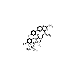 CCN(CCN(C)c1nc(N)nc2ccc(-c3ccc(F)cc3)nc12)C(=O)[C@@H](Cc1ccc(Cl)cc1)NC(=O)OC(C)(C)C